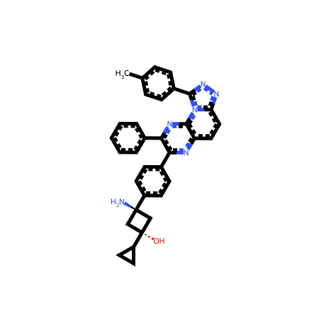 Cc1ccc(-c2nnc3ccc4nc(-c5ccc([C@]6(N)C[C@@](O)(C7CC7)C6)cc5)c(-c5ccccc5)nc4n23)cc1